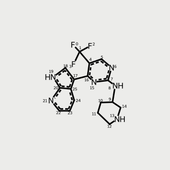 FC(F)(F)c1cnc(NC2CCCNC2)nc1-c1c[nH]c2ncccc12